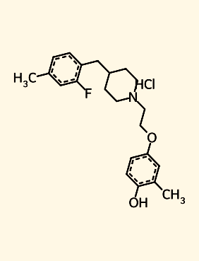 Cc1ccc(CC2CCN(CCOc3ccc(O)c(C)c3)CC2)c(F)c1.Cl